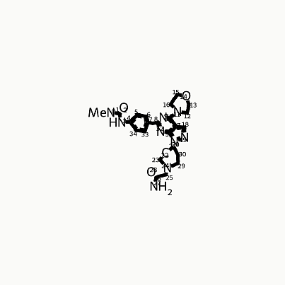 CNC(=O)Nc1ccc(-c2nc(N3CCOCC3)c3cnn(C4CCN(CC(N)=O)CC4)c3n2)cc1